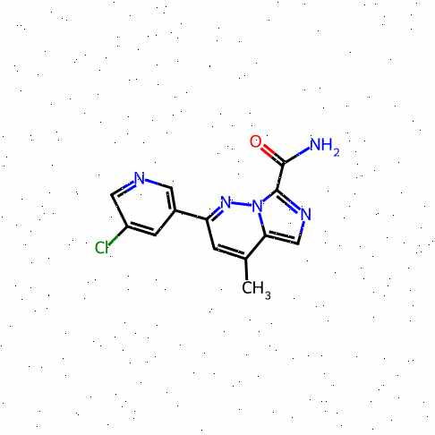 Cc1cc(-c2cncc(Cl)c2)nn2c(C(N)=O)ncc12